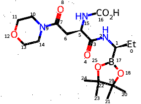 CC[C@H](NC(=O)[C@@H](CC(=O)N1CCOCC1)NC(=O)O)B1OC(C)(C)C(C)(C)O1